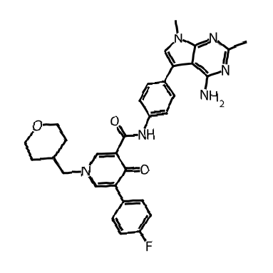 Cc1nc(N)c2c(-c3ccc(NC(=O)c4cn(CC5CCOCC5)cc(-c5ccc(F)cc5)c4=O)cc3)cn(C)c2n1